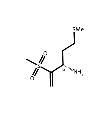 C=C([C@@H](N)CCSC)S(C)(=O)=O